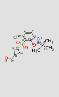 CC(C)(C)c1nc2ccc(Cl)c(S(=O)(=O)C3CC(C=O)C3)c2o1